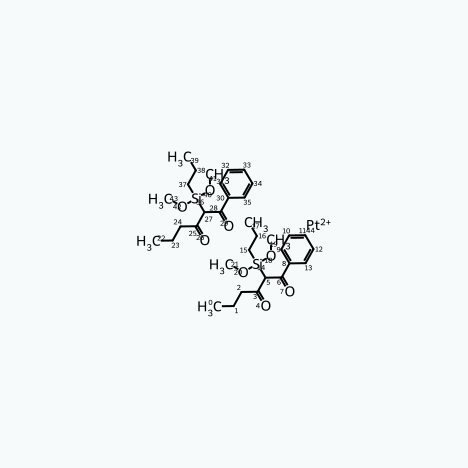 CCCC(=O)C(C(=O)c1ccccc1)[Si](CCC)(OC)OC.CCCC(=O)C(C(=O)c1ccccc1)[Si](CCC)(OC)OC.[Pt+2]